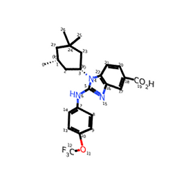 C[C@H]1C[C@@H](n2c(Nc3ccc(OC(F)(F)F)cc3)nc3cc(C(=O)O)ccc32)CC(C)(C)C1